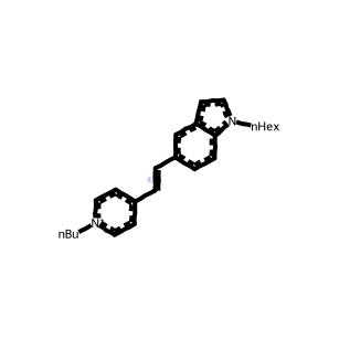 CCCCCCn1ccc2cc(/C=C/c3cc[n+](CCCC)cc3)ccc21